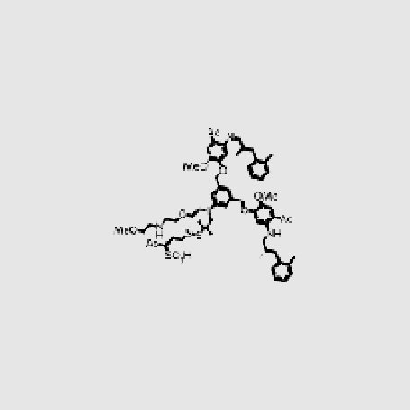 COCCNCCOCCN(CC(C)(C)SSCCC(C(C)=O)S(=O)(=O)O)c1cc(COc2cc(/N=C\C(C)Cc3ccccc3C)c(C(C)=O)cc2OC)cc(COc2cc(NC[C@@H](C)Cc3ccccc3C)c(C(C)=O)cc2OC)c1